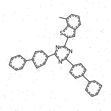 Cc1cccc2cc(-c3nc(-c4ccc(-c5ccccc5)cc4)nc(-c4ccc(-c5ccccc5)cc4)n3)sc12